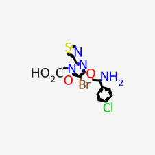 N[C@@H](COc1nc(-c2cscn2)n(CC(=O)O)c(=O)c1Br)c1ccc(Cl)cc1